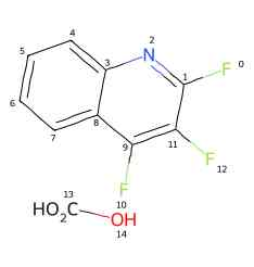 Fc1nc2ccccc2c(F)c1F.O=C(O)O